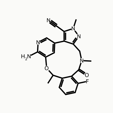 CC1Oc2cc(cnc2N)-c2c(nn(C)c2C#N)CN(C)C(=O)c2c(F)cccc21